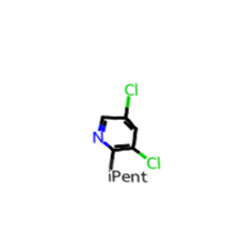 CCCC(C)c1ncc(Cl)cc1Cl